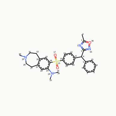 Cc1nc(C(c2ccccc2)c2ccc(S(=O)(=O)c3cc4c(cc3N(C)C)CCN(C)CC4)cc2)no1